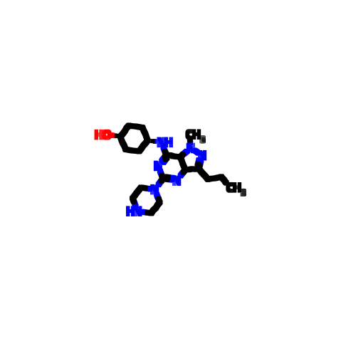 CCCC1=NN(C)C2C(N[C@H]3CC[C@H](O)CC3)=NC(N3CCNCC3)=NC12